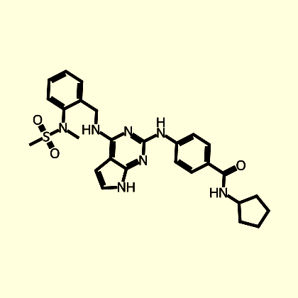 CN(c1ccccc1CNc1nc(Nc2ccc(C(=O)NC3CCCC3)cc2)nc2[nH]ccc12)S(C)(=O)=O